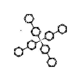 c1ccc(-c2ccc([B-](c3ccc(-c4ccccc4)cc3)(c3ccc(-c4ccccc4)cc3)c3ccc(-c4ccccc4)cc3)cc2)cc1